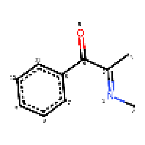 CN=C(C)C(=O)c1ccccc1